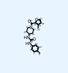 Cc1ccc(NC(=O)NC2CCN(C(=O)c3occc3C)CC2)cc1